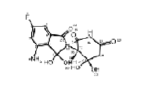 Nc1cc(F)cc2c1C(O)(O)N([C@]1(O)C(=O)NC(=O)CC1(O)O)C2=O